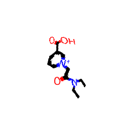 CCN(CC)C(=O)C[n+]1cccc(C(=O)O)c1